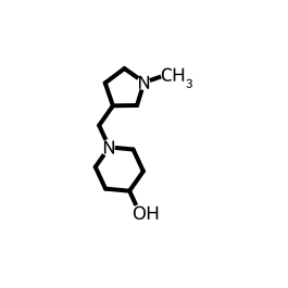 CN1CCC(CN2CCC(O)CC2)C1